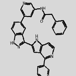 O=C(Cc1ccccc1)Nc1cncc(-c2ccc3[nH]nc(-c4cc5c(-c6cccnc6)nccc5[nH]4)c3c2)c1